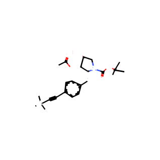 CC(=O)O[C@H]1[C@@H](Cc2ccc(C#C[Si](C)(C)C)cc2)N(C(=O)OC(C)(C)C)C[C@@H]1O